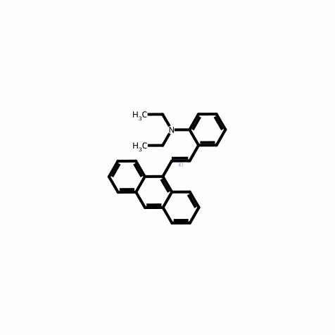 CCN(CC)c1ccccc1/C=C/c1c2ccccc2cc2ccccc12